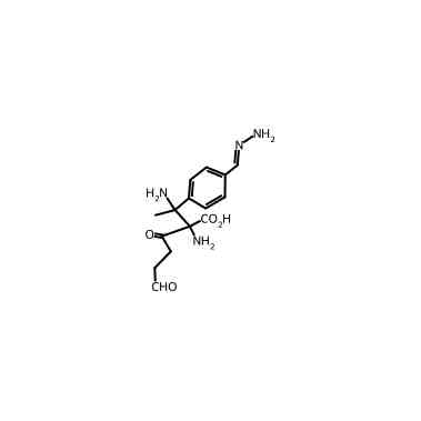 CC(N)(c1ccc(C=NN)cc1)C(N)(C(=O)O)C(=O)CCC=O